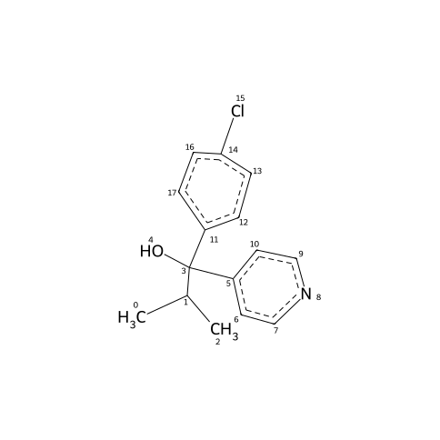 CC(C)C(O)(c1ccncc1)c1ccc(Cl)cc1